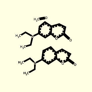 C=O.CCN(CC)c1ccc2ccc(=O)oc2c1.CCN(CC)c1ccc2ccc(=O)oc2c1